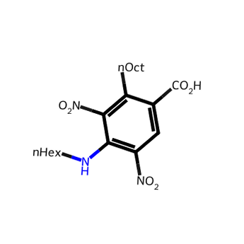 CCCCCCCCc1c(C(=O)O)cc([N+](=O)[O-])c(NCCCCCC)c1[N+](=O)[O-]